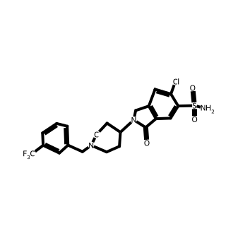 NS(=O)(=O)c1cc2c(cc1Cl)CN(C1CCN(Cc3cccc(C(F)(F)F)c3)CC1)C2=O